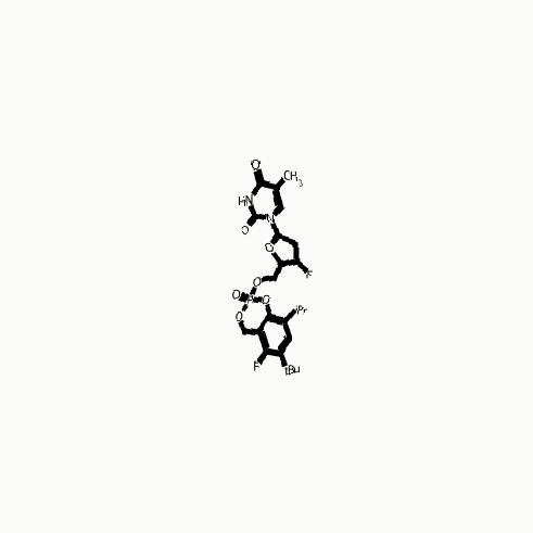 Cc1cn(C2CC(F)C(COP3(=O)OCc4c(F)c(C(C)(C)C)cc(C(C)C)c4O3)O2)c(=O)[nH]c1=O